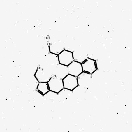 CCn1ncc(CN2CCN(c3nccnc3N3CCC(CO)CC3)CC2)c1C.Cl